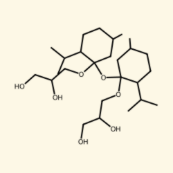 CC1CCC(C(C)C)C(OCC(O)CO)(OC2(OCC(O)CO)CC(C)CCC2C(C)C)C1